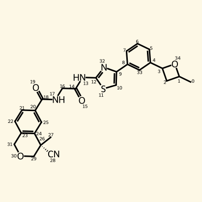 CC1CC(c2cccc(-c3csc(NC(=O)CNC(=O)c4ccc5c(c4)[C@](C)(C#N)COC5)n3)c2)O1